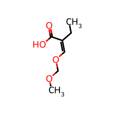 CCC(=COCOC)C(=O)O